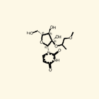 COCC(C)O[C@]1(O)[C@H](O)[C@@H](CO)O[C@H]1n1ccc(=O)[nH]c1=O